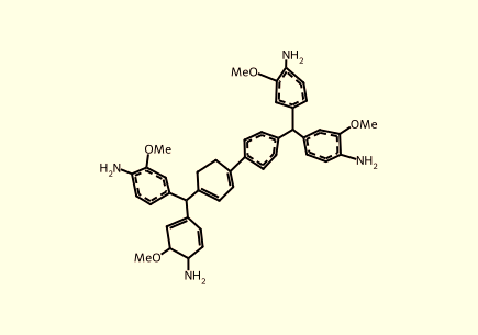 COc1cc(C(C2=CC(OC)C(N)C=C2)C2=CC=C(c3ccc(C(c4ccc(N)c(OC)c4)c4ccc(N)c(OC)c4)cc3)CC2)ccc1N